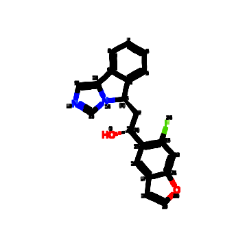 O[C@H](C[C@@H]1c2ccccc2-c2cncn21)c1cc2ccoc2cc1F